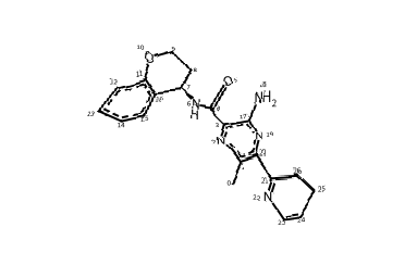 Cc1nc(C(=O)N[C@@H]2CCOc3ccccc32)c(N)nc1C1=NC=CCC1